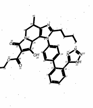 CCCCc1nc2c(n1-c1ccc(-c3ccccc3-c3nnn[nH]3)cc1)C1C(O)=C(C(=O)OCC)C(=O)N1CC2C